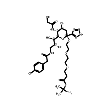 CC(C)(C)OC(=O)CCOCCOCCO[C@]1(c2nn[nH]n2)C[C@H](O)[C@@H](NC(=O)CO)[C@H]([C@H](O)[C@H](O)CNC(=O)Cc2ccc(Cl)cc2)O1